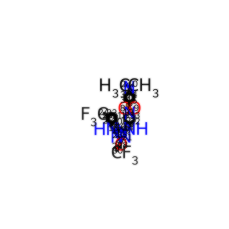 CN(C)c1ccc(S(=O)(=O)N2CCC(Nc3nc(Nc4cccc(C(F)(F)F)c4)nc(OCC(F)(F)F)n3)CC2)cc1